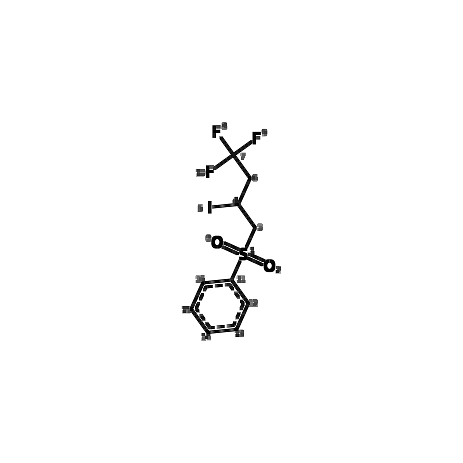 O=S(=O)(CC(I)CC(F)(F)F)c1ccccc1